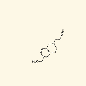 CCc1ccc2c(c1)CCN(CCC#N)C2